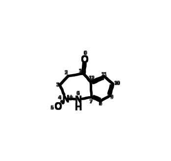 O=C1CC[N+](=O)Nc2ccccc21